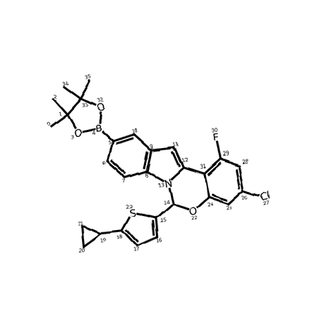 CC1(C)OB(c2ccc3c(c2)cc2n3C(c3ccc(C4CC4)s3)Oc3cc(Cl)cc(F)c3-2)OC1(C)C